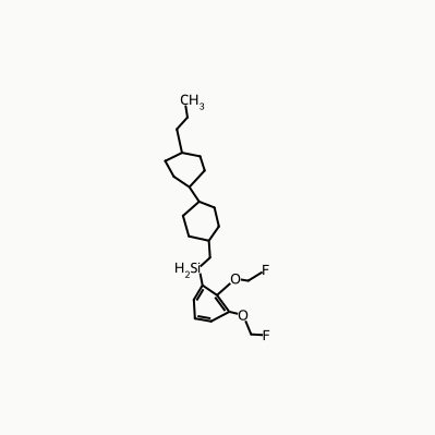 CCCC1CCC(C2CCC(C[SiH2]c3cccc(OCF)c3OCF)CC2)CC1